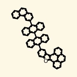 c1ccc2c(c1)ccc1ccc(-c3c4ccccc4c(-c4c5ccccc5c(-c5ccc6oc7c8cccc9ccc%10cccc(c7c6c5)c%10c98)c5ccccc45)c4ccccc34)cc12